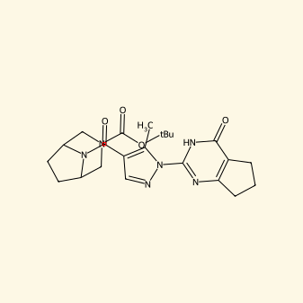 Cc1c(C(=O)N2C3CCC2CN(C(=O)OC(C)(C)C)C3)cnn1-c1nc2c(c(=O)[nH]1)CCC2